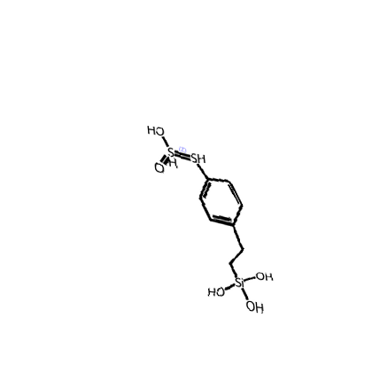 O=[SH](/O)=[SH]\c1ccc(CC[Si](O)(O)O)cc1